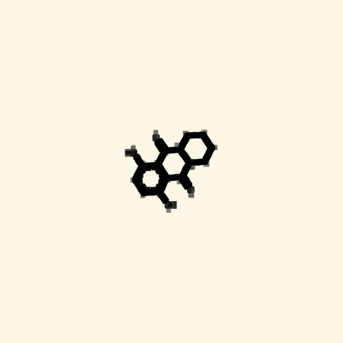 O=C1c2c(O)ccc(O)c2C(=O)C2CCCCC12